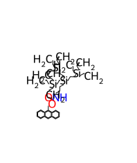 C=CC[Si](CC=C)(CC=C)CCC[Si](CCCCNC(=O)OCc1c2ccccc2cc2ccccc12)(CCC[Si](CC=C)(CC=C)CC=C)CC[Si](CC=C)(CC=C)CC=C